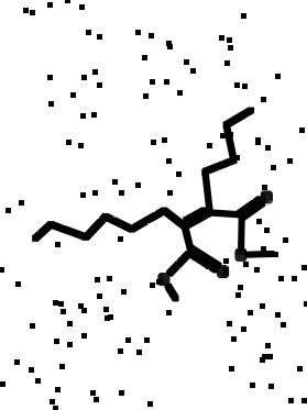 CCCCCC/C(C(=O)OC)=C(\CCCC)C(=O)OC